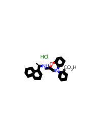 C[C@@H](NCC1CN(c2ccccc2C(=O)O)c2ccccc2O1)c1cccc2ccccc12.Cl